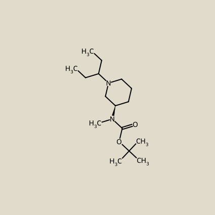 CCC(CC)N1CCC[C@@H](N(C)C(=O)OC(C)(C)C)C1